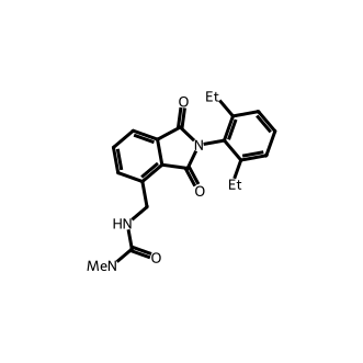 CCc1cccc(CC)c1N1C(=O)c2cccc(CNC(=O)NC)c2C1=O